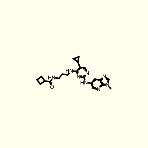 Cn1cnc2cc(Nc3ncc(C4CC4)c(NCCCNC(=O)C4CCC4)n3)cnc21